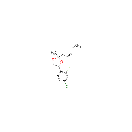 CC/C=C\CC1(C)OCC(c2ccc(Cl)cc2F)O1